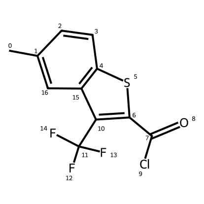 Cc1ccc2sc(C(=O)Cl)c(C(F)(F)F)c2c1